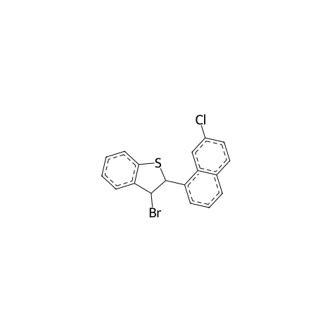 Clc1ccc2cccc(C3Sc4ccccc4C3Br)c2c1